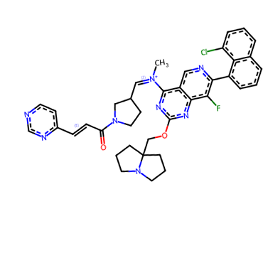 C/[N+](=C/C1CCN(C(=O)/C=C/c2ccncn2)C1)c1nc(OCC23CCCN2CCC3)nc2c(F)c(-c3cccc4cccc(Cl)c34)ncc12